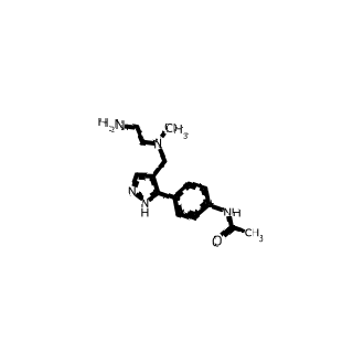 CC(=O)Nc1ccc(-c2[nH]ncc2CN(C)CCN)cc1